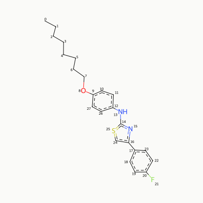 CCCCCCCCOc1ccc(Nc2nc(-c3ccc(F)cc3)cs2)cc1